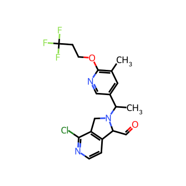 Cc1cc(C(C)N2Cc3c(ccnc3Cl)C2C=O)cnc1OCCC(F)(F)F